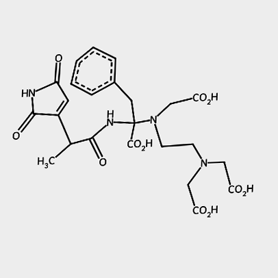 CC(C(=O)NC(Cc1ccccc1)(C(=O)O)N(CCN(CC(=O)O)CC(=O)O)CC(=O)O)C1=CC(=O)NC1=O